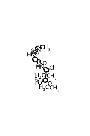 CC(C)Oc1cc(OC(F)(F)F)cc(C(C)(C)c2cc(Cl)cc(NC(=O)c3cc4cc(NS(=O)(=O)c5ccn(C)n5)ccc4s3)c2)c1